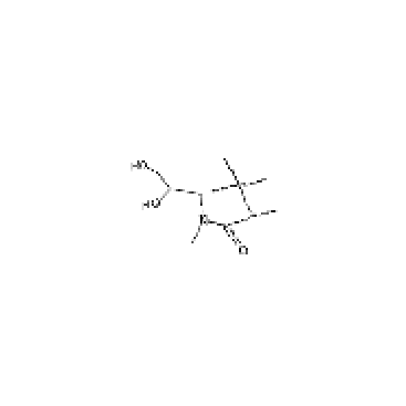 CC(C(=O)N(C)CC(O)CO)C(C)(C)C